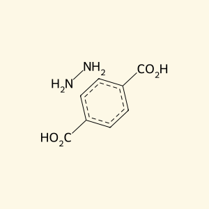 NN.O=C(O)c1ccc(C(=O)O)cc1